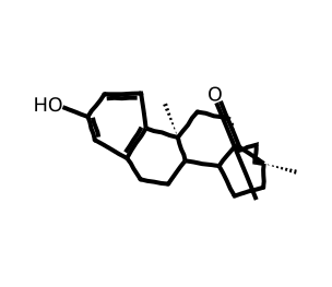 C[C@]12CCC(=O)[C@]13CC[C@]1(C)c4ccc(O)cc4CCC1C3CC2